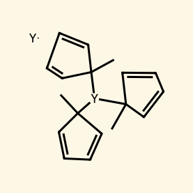 C[C]1([Y]([C]2(C)C=CC=C2)[C]2(C)C=CC=C2)C=CC=C1.[Y]